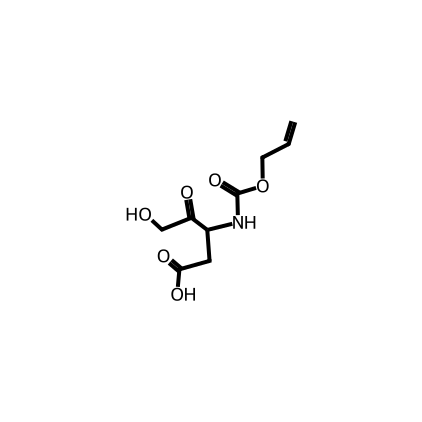 C=CCOC(=O)NC(CC(=O)O)C(=O)CO